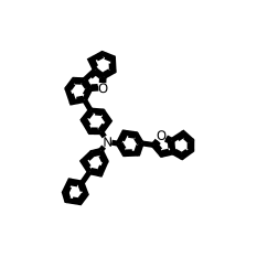 c1ccc(-c2ccc(N(c3ccc(-c4cc5ccccc5o4)cc3)c3ccc(-c4cccc5c4oc4ccccc45)cc3)cc2)cc1